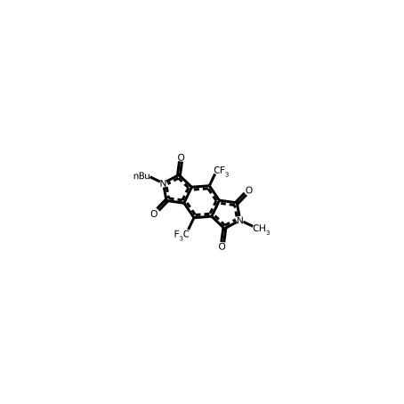 CCCCn1c(=O)c2c(C(F)(F)F)c3c(=O)n(C)c(=O)c3c(C(F)(F)F)c2c1=O